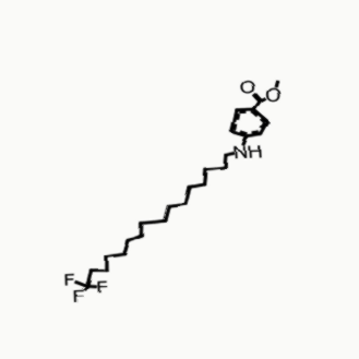 COC(=O)c1ccc(NCCCCCCCCCCCCCCCC(F)(F)F)cc1